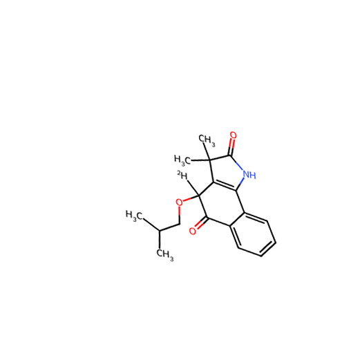 [2H]C1(OCC(C)C)C(=O)c2ccccc2C2=C1C(C)(C)C(=O)N2